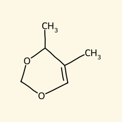 CC1=COCOC1C